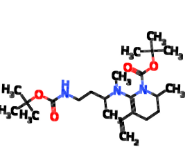 C=CC1=C(N(C)C(C)CCNC(=O)OC(C)(C)C)N(C(=O)OC(C)(C)C)C(C)CC1